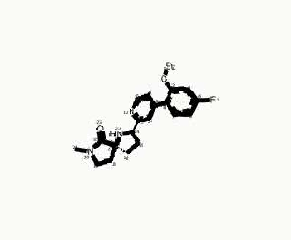 CCOc1cc(F)ccc1-c1ccnc([C@H]2CC[C@@]3(CCN(C)C3=O)N2)c1